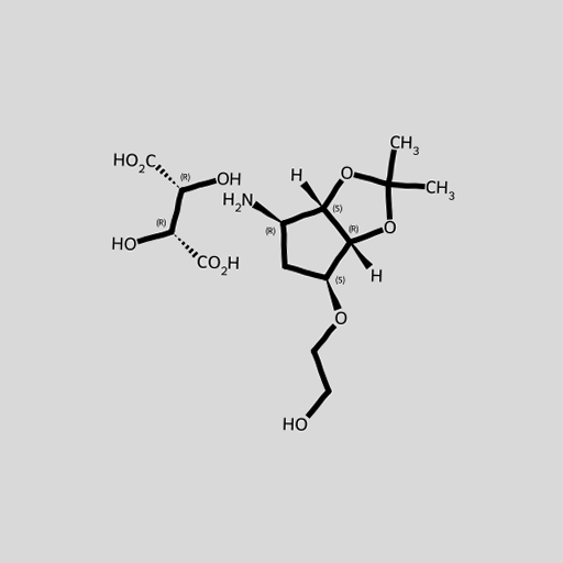 CC1(C)O[C@@H]2[C@H](O1)[C@@H](OCCO)C[C@H]2N.O=C(O)[C@H](O)[C@@H](O)C(=O)O